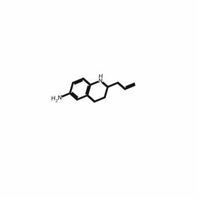 C=CCC1CCc2cc(N)ccc2N1